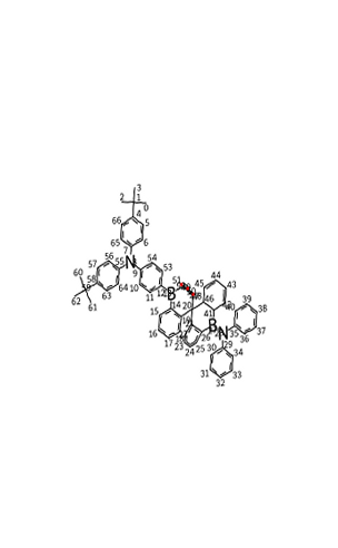 CC(C)(C)c1ccc(N(c2ccc(B3c4ccccc4C4(c5ccccc5B(N(c5ccccc5)c5ccccc5)C5C=CC=CC54)C4C=CC=CC34)cc2)c2ccc(C(C)(C)C)cc2)cc1